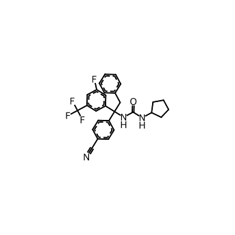 N#Cc1ccc(C(Cc2ccccc2)(NC(=O)NC2CCCC2)c2cc(F)cc(C(F)(F)F)c2)cc1